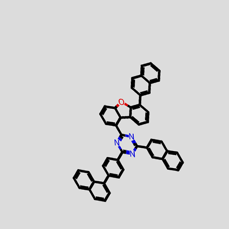 C1=CC2Oc3c(-c4ccc5ccccc5c4)cccc3C2C(c2nc(-c3ccc(-c4cccc5ccccc45)cc3)nc(-c3ccc4ccccc4c3)n2)=C1